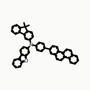 CC1(C)c2ccccc2-c2cc(N(c3ccc(-c4ccc5c(ccc6c7ccccc7ccc56)c4)cc3)c3ccc4c(c3)oc3ccccc34)ccc21